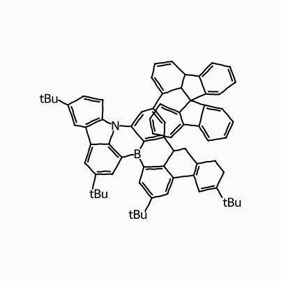 CC(C)(C)C1=CC2=C(CC1)CC1c3cc(C4=CC=CC5c6ccccc6C6(c7ccccc7-c7ccccc76)C45)cc4c3B(c3cc(C(C)(C)C)cc2c31)c1cc(C(C)(C)C)cc2c3cc(C(C)(C)C)ccc3n-4c12